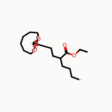 [CH2]CCCC(CC[C]1OC2CCCCC(COCC2)O1)C(=O)OCC